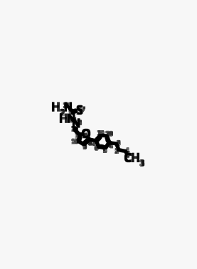 CCCCc1ccc(-c2ccc(C=NNC(N)=S)o2)cc1